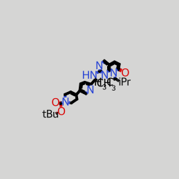 CC(Nc1ncc2ccc(=O)n(C(C)C(C)C)c2n1)c1ccc(C2=CCN(C(=O)OC(C)(C)C)CC2)cn1